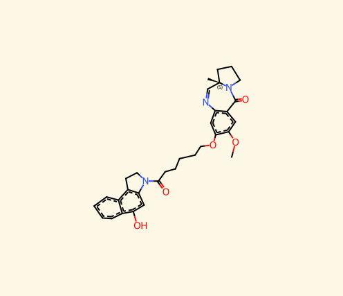 COc1cc2c(cc1OCCCCCC(=O)N1CCc3c1cc(O)c1ccccc31)N=C[C@]1(C)CCCN1C2=O